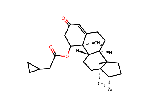 CC(=O)[C@H]1CC[C@H]2[C@@H]3CCC4=CC(=O)CC(OC(=O)CC5CC5)[C@]4(C)[C@H]3CC[C@]12C